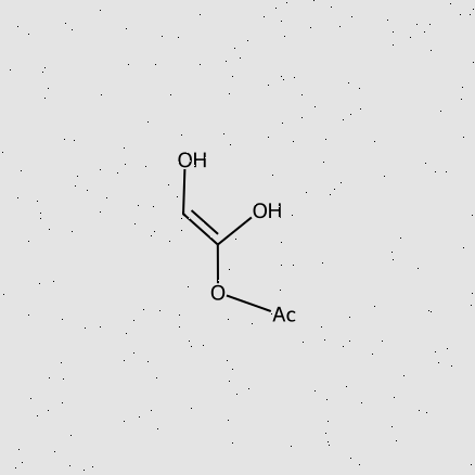 CC(=O)OC(O)=CO